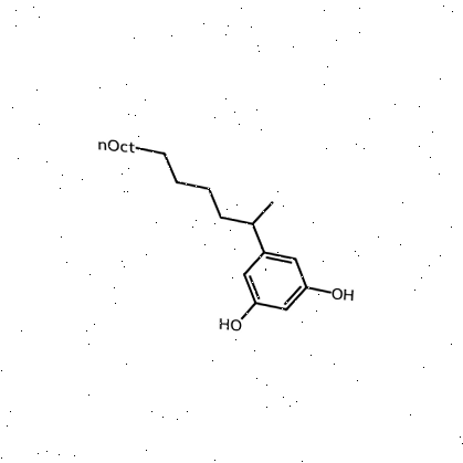 CCCCCCCCCCCCC(C)c1cc(O)cc(O)c1